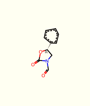 O=CN1C[C@@H](c2ccccc2)OC1=O